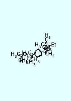 CCC(O[Si](C)(C)c1ccc([Si](C)(C)[C@@H](C)O[SiH](C)C)cc1)[SiH](C)C